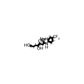 C#CCC/C(O)=C(\C#N)CC(=O)Nc1ccc(C(F)(F)F)cc1.[NaH]